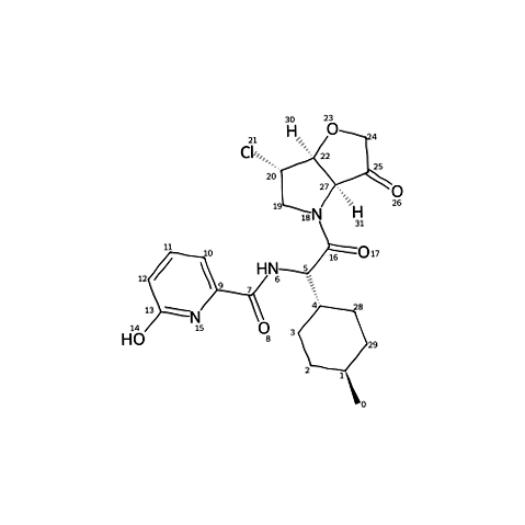 C[C@H]1CC[C@H](C(NC(=O)c2cccc(O)n2)C(=O)N2C[C@H](Cl)[C@H]3OCC(=O)[C@H]32)CC1